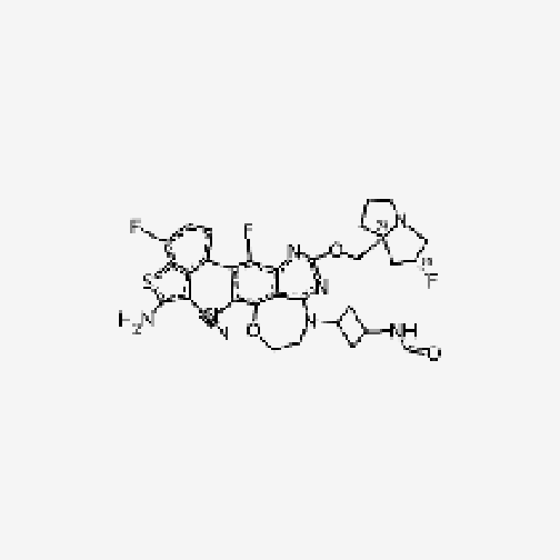 N#Cc1c(N)sc2c(F)ccc(-c3c(Cl)c4c5c(nc(OC[C@@]67CCCN6C[C@H](F)C7)nc5c3F)N(C3CC(NC=O)C3)CCO4)c12